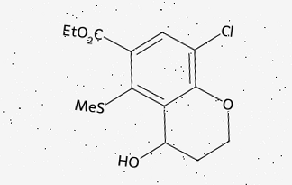 CCOC(=O)c1cc(Cl)c2c(c1SC)C(O)CCO2